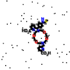 O=C(O)c1cccc(CN2CCOCCOCCN(C(c3ccc(NC=S)cc3)c3cccc(C(=O)O)n3)CCOCCOCC2)n1